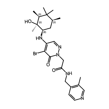 Cc1cnccc1CNC(=O)Cn1ncc(N[C@@H]2C[C@H](C)C(C)(C)[C@H](C)[C@]2(C)O)c(Br)c1=O